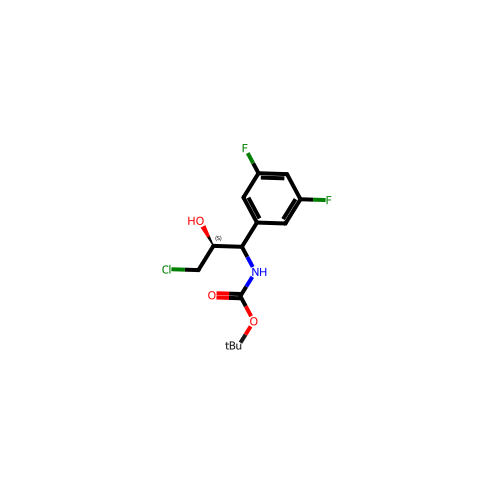 CC(C)(C)OC(=O)NC(c1cc(F)cc(F)c1)[C@H](O)CCl